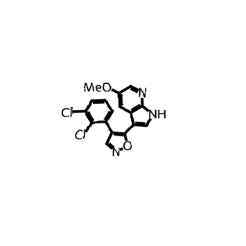 COc1cnc2[nH]cc(-c3oncc3-c3cccc(Cl)c3Cl)c2c1